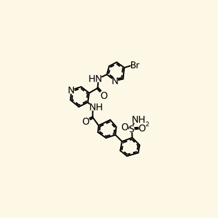 NS(=O)(=O)c1ccccc1-c1ccc(C(=O)Nc2ccncc2C(=O)Nc2ccc(Br)cn2)cc1